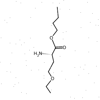 CCCCOC(=O)[C@@H](N)CCOCC